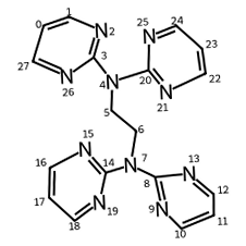 c1cnc(N(CCN(c2ncccn2)c2ncccn2)c2ncccn2)nc1